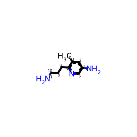 Cc1cc(N)cnc1CCCN